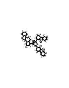 c1ccc2c(c1)ccc1c3cccc(-c4nc(-c5ccc6c(c5)oc5ccccc56)nc(-c5cccc6c5sc5ccccc56)n4)c3ccc21